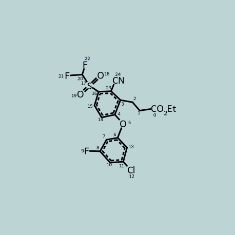 CCOC(=O)CCc1c(Oc2cc(F)cc(Cl)c2)ccc(S(=O)(=O)C(F)F)c1C#N